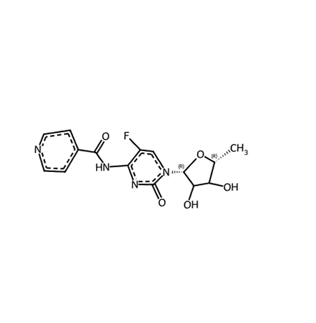 C[C@H]1O[C@@H](n2cc(F)c(NC(=O)c3ccncc3)nc2=O)C(O)C1O